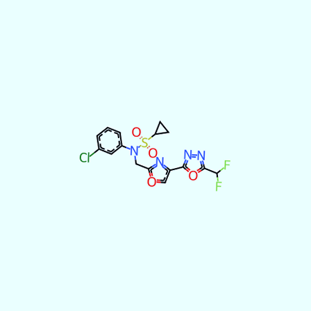 O=S(=O)(C1CC1)N(Cc1nc(-c2nnc(C(F)F)o2)co1)c1cccc(Cl)c1